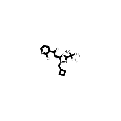 CC(C)(C)C1=NN(CC2CCC2)/C(=C/C(=O)c2cccnc2Cl)S1